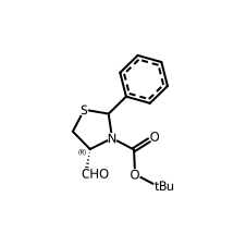 CC(C)(C)OC(=O)N1C(c2ccccc2)SC[C@H]1C=O